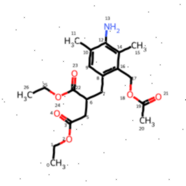 CCOC(=O)CC(Cc1cc(C)c(N)c(C)c1COC(C)=O)C(=O)OCC